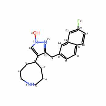 On1cc(C2CCCNCCC2)c(Cc2ccc3ccc(F)cc3c2)n1